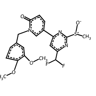 COc1ccc(Cn2cc(-c3cc(C(F)F)nc([S+](C)[O-])n3)ccc2=O)cc1OC